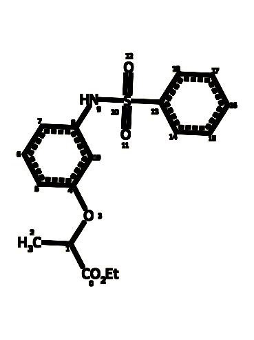 CCOC(=O)C(C)Oc1cccc(NS(=O)(=O)c2ccccc2)c1